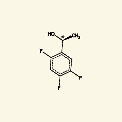 C[C@H](O)c1cc(F)c(F)cc1F